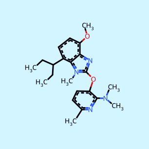 CCC(CC)c1ccc(OC)c2nc(Oc3ccc(C)nc3N(C)C)n(C)c12